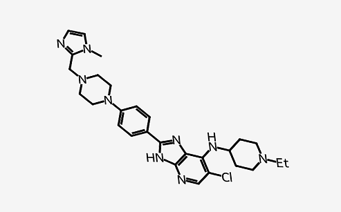 CCN1CCC(Nc2c(Cl)cnc3[nH]c(-c4ccc(N5CCN(Cc6nccn6C)CC5)cc4)nc23)CC1